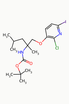 CC(C)CC(C)(COc1ccc(I)nc1Cl)NC(=O)OC(C)(C)C